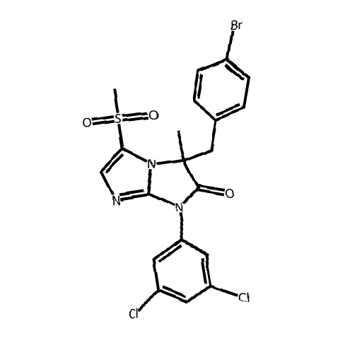 CC1(Cc2ccc(Br)cc2)C(=O)N(c2cc(Cl)cc(Cl)c2)c2ncc(S(C)(=O)=O)n21